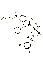 CN(C)CCCN(C)c1ccc(C(=O)Nc2n[nH]c3c2CN(S(=O)(=O)c2cc(F)cc(F)c2)CC3(C)C)c(NC2CCOCC2)c1